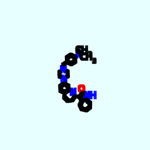 CN(C)c1ccc(CN2CCN(c3ccc4c(c3)N=C(c3c5cccccc-5[nH]c3=O)CC=C4)CC2)cc1